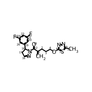 C=C(CCCOc1nnc(C)s1)C(=O)N1N=CCC1c1cc(F)cc(F)c1